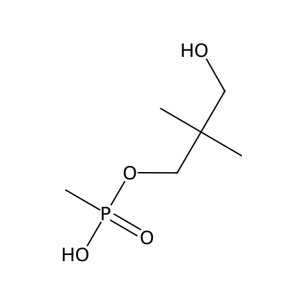 CC(C)(CO)COP(C)(=O)O